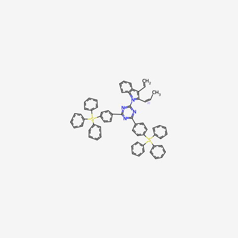 C=Cc1c(/C=C\C)n(-c2nc(-c3ccc(S(c4ccccc4)(c4ccccc4)c4ccccc4)cc3)nc(-c3ccc(S(c4ccccc4)(c4ccccc4)c4ccccc4)cc3)n2)c2ccccc12